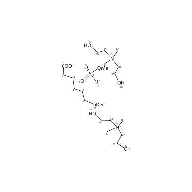 CCCCCCCCCCCCCCCC(=O)[O-].COS(=O)(=O)[O-].C[N+](C)(CCO)CCO.C[N+](C)(CCO)CCO